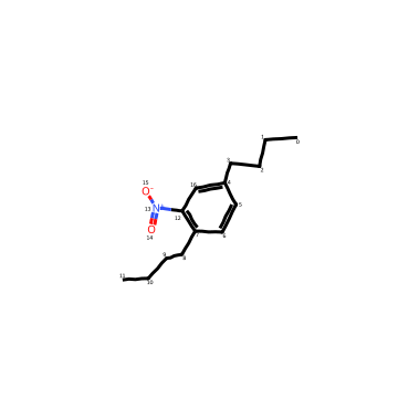 CCCCc1ccc(CCCC)c([N+](=O)[O-])c1